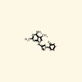 Cc1nc(N)c2c(C)cn(Cc3cn(-c4ccccc4F)nn3)c2n1